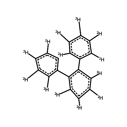 [2H]c1cc(-c2c([2H])c([2H])c([2H])c([2H])c2-c2c([2H])c([2H])c([2H])c([2H])c2[2H])c([2H])c([2H])c1[2H]